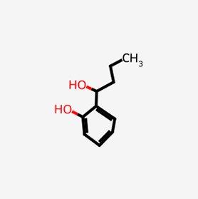 CCCC(O)c1ccccc1O